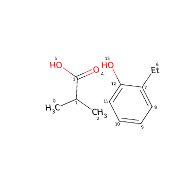 CC(C)C(=O)O.CCc1ccccc1O